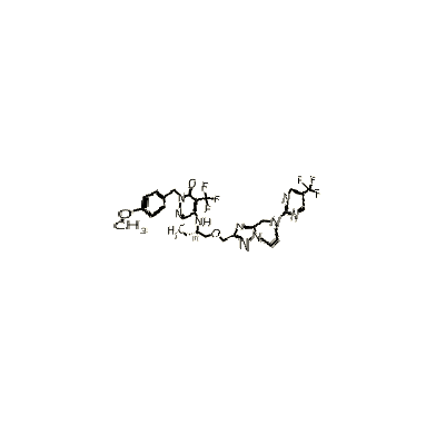 CC[C@@H](COCc1nc2n(n1)CCN(c1ncc(C(F)(F)F)cn1)C2)Nc1cnn(Cc2ccc(OC)cc2)c(=O)c1C(F)(F)F